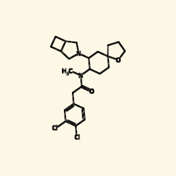 CN(C(=O)Cc1ccc(Cl)c(Cl)c1)C1CCC2(CCCO2)CC1N1CC2CCC2C1